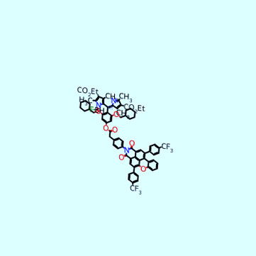 CCOC(=O)C1=C(C)/C(=C(\c2c(OCC3CCCCC3)cc(OC(=O)Cc3ccc(-n4c(=O)c5cc(-c6ccc(C(F)(F)F)cc6)c6oc7ccccc7c7c(-c8ccc(C(F)(F)F)cc8)cc(c4=O)c5c67)cc3)cc2OCC2CCCCC2)c2c(C)c(C(=O)OCC)c(C)n2BF)N=C1C